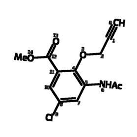 C#CCOc1c(NC(C)=O)cc(Cl)cc1C(=O)OC